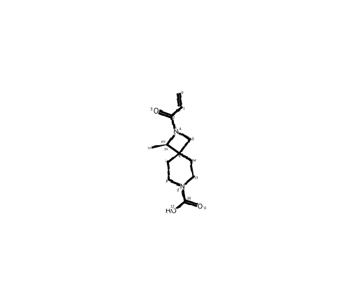 C=CC(=O)N1CC2(CCN(C(=O)O)CC2)[C@H]1C